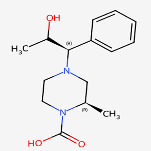 CC(O)[C@@H](c1ccccc1)N1CCN(C(=O)O)[C@H](C)C1